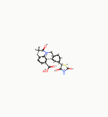 CC1(C)Cc2ccc(C(=O)O)cc2N(Cc2ccc(C3SC(=O)NC3=O)cc2)C1=O